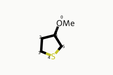 CO[C]1CCSC1